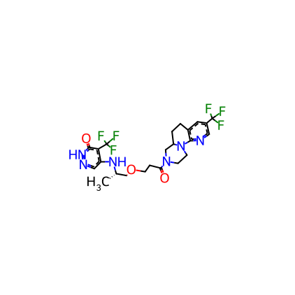 C[C@@H](COCCC(=O)N1CCN2c3ncc(C(F)(F)F)cc3CCC2C1)Nc1cn[nH]c(=O)c1C(F)(F)F